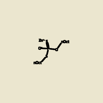 CCCCCCCCOP([O-])(=S)SCCCCCCCC.[Zn+]